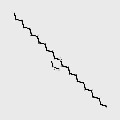 CCCCCCCCCCCCOCCCCCCCCCCCC.COC